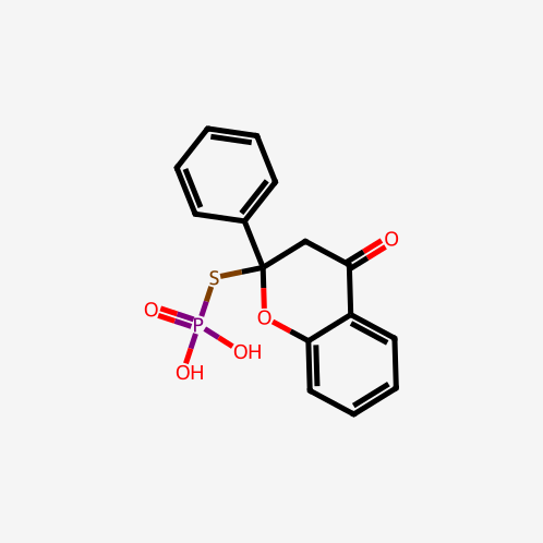 O=C1CC(SP(=O)(O)O)(c2ccccc2)Oc2ccccc21